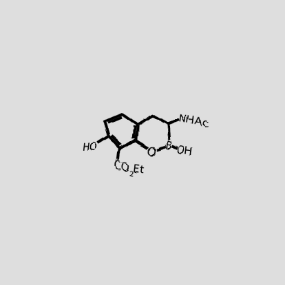 CCOC(=O)c1c(O)ccc2c1OB(O)C(NC(C)=O)C2